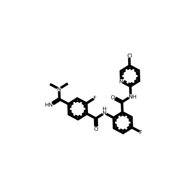 CN(C)C(=N)c1ccc(C(=O)Nc2ccc(F)cc2C(=O)Nc2ccc(Cl)cn2)c(F)c1